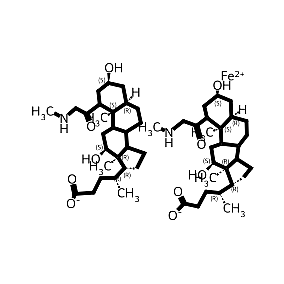 CNCC(=O)C1C[C@@H](O)C[C@H]2CCC3C(C[C@H](O)[C@@]4(C)C3CC[C@@H]4[C@H](C)CCC(=O)[O-])[C@@]12C.CNCC(=O)C1C[C@@H](O)C[C@H]2CCC3C(C[C@H](O)[C@@]4(C)C3CC[C@@H]4[C@H](C)CCC(=O)[O-])[C@@]12C.[Fe+2]